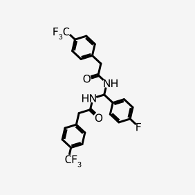 O=C(Cc1ccc(C(F)(F)F)cc1)NC(NC(=O)Cc1ccc(C(F)(F)F)cc1)c1ccc(F)cc1